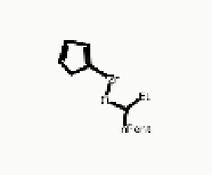 CCCCCC(CC)[O][Zr][C]1=CC=CC1